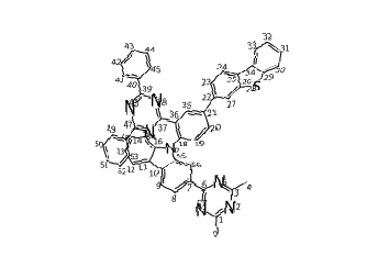 Cc1nc(C)nc(-c2ccc3c4ccccc4n(-c4ccc(-c5ccc6c(c5)sc5ccccc56)cc4-c4nc(-c5ccccc5)nc(-c5ccccc5)n4)c3c2)n1